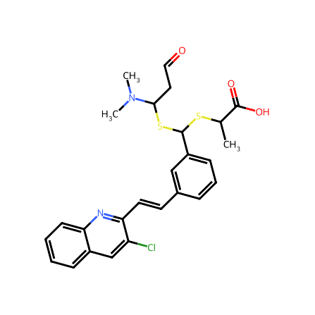 CC(SC(SC(CC=O)N(C)C)c1cccc(C=Cc2nc3ccccc3cc2Cl)c1)C(=O)O